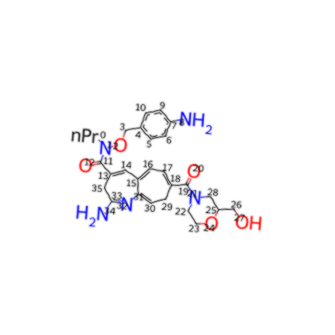 CCCN(OCc1ccc(N)cc1)C(=O)C1=CC2=CC=C(C(=O)N3CCOC(CO)C3)CC=C2N=C(N)C1